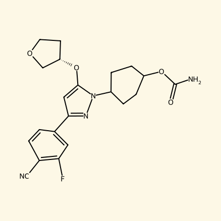 N#Cc1ccc(-c2cc(O[C@H]3CCOC3)n(C3CCC(OC(N)=O)CC3)n2)cc1F